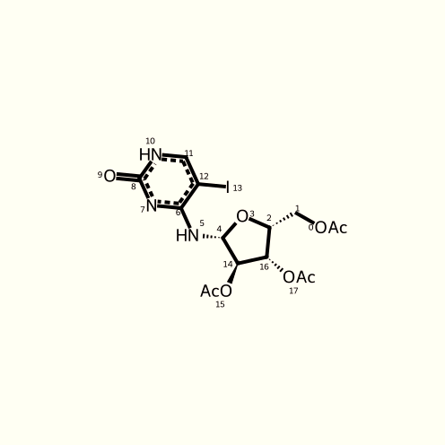 CC(=O)OC[C@H]1O[C@@H](Nc2nc(=O)[nH]cc2I)[C@H](OC(C)=O)[C@H]1OC(C)=O